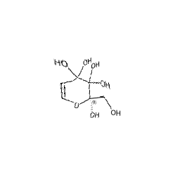 OC[C@@]1(O)OC=CC(O)(O)C1(O)O